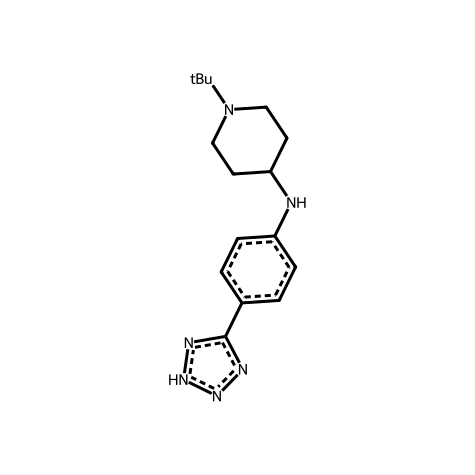 CC(C)(C)N1CCC(Nc2ccc(-c3nn[nH]n3)cc2)CC1